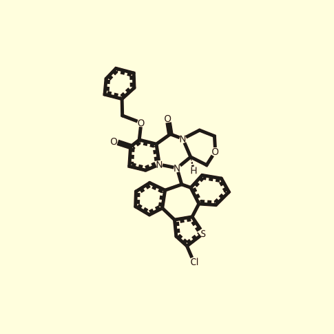 O=C1c2c(OCc3ccccc3)c(=O)ccn2N(C2c3ccccc3-c3cc(Cl)sc3-c3ccccc32)[C@@H]2COCCN12